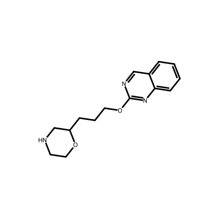 c1ccc2nc(OCCCC3CNCCO3)ncc2c1